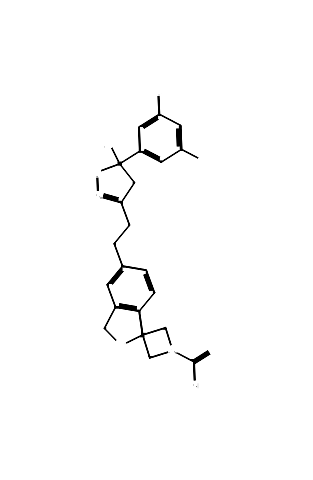 NC(=O)N1CC2(C1)OCc1cc(CCC3=NSC(c4cc(Cl)cc(Cl)c4)(C(F)(F)F)C3)ccc12